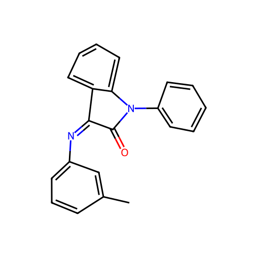 Cc1cccc(N=C2C(=O)N(c3ccccc3)c3ccccc32)c1